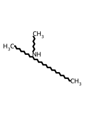 CCCCCCCCCCCCCCCCCCC(CCCCCCCCC)NCCCCCCCC